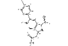 C=N/C(=C\c1c(C(C)=O)nn(CC(=O)O)c1C)c1cnc(C)nc1